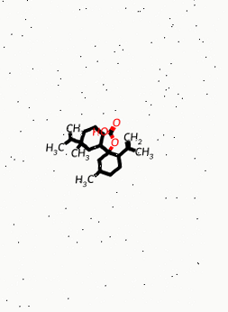 C=C(C)C1CCC(C)CC1(OC(=O)O)C1CCCC(C)(C(C)C)C1